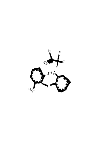 Cc1ccccc1[I+]c1ccccc1C.O=C([O-])C(F)(F)F